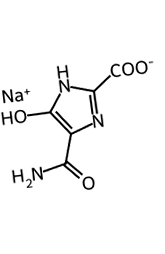 NC(=O)c1nc(C(=O)[O-])[nH]c1O.[Na+]